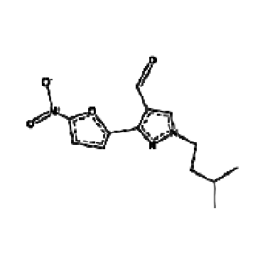 CC(C)CCn1cc(C=O)c(-c2ccc([N+](=O)[O-])o2)n1